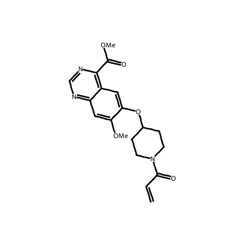 C=CC(=O)N1CCC(Oc2cc3c(C(=O)OC)ncnc3cc2OC)CC1